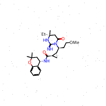 CC[C@]1(C)CC(=O)N([C@@H](CCOC)[C@@H]2C[C@H]2C(=O)N[C@H]2CC(C)(C)Oc3ccccc32)C(=N)N1